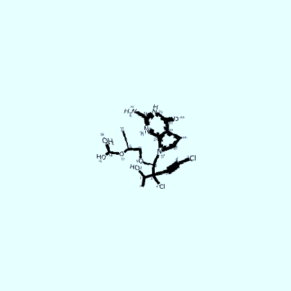 CC(O)C(Cl)(C#CCl)[C@@H](OC[C@H](C)OC(O)O)n1ccc2c(=O)[nH]c(N)nc21